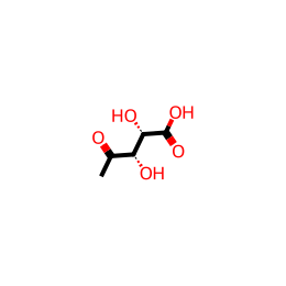 CC(=O)[C@@H](O)[C@H](O)C(=O)O